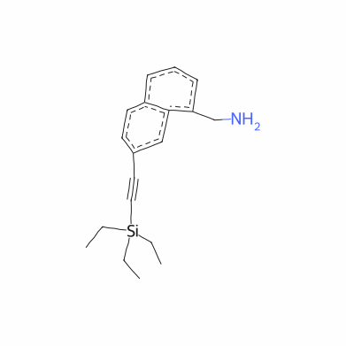 CC[Si](C#Cc1ccc2cccc(CN)c2c1)(CC)CC